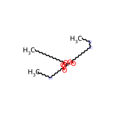 CCCCC/C=C\C/C=C\CCCCCCCCCCCC(=O)OC[C@@H](COC(=O)CCCCCCC/C=C\CCCCCCC)OC(=O)CCCCCCCCCCCCCCCCCC